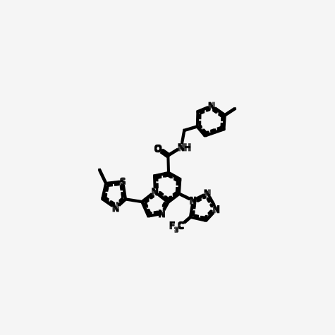 Cc1ccc(CNC(=O)c2cc(-n3nncc3C(F)(F)F)c3ncc(-c4ncc(C)s4)n3c2)cn1